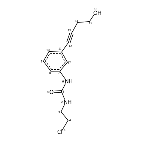 O=C(NCCCl)Nc1cccc(C#CCCO)c1